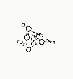 CC[C@@H]1C[C@@H](c2ccc(Cl)cc2N2CCC(C(=O)O)CC2)CN1C(=O)[C@]1(F)CN(C2CCCC2)C[C@H]1c1ccc(OC)cc1